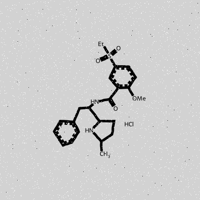 CCS(=O)(=O)c1ccc(OC)c(C(=O)NC(Cc2ccccc2)C2CCC(C)N2)c1.Cl